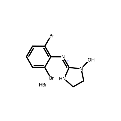 Br.ON1CCN/C1=N\c1c(Br)cccc1Br